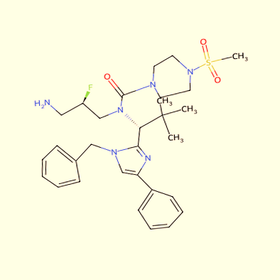 CC(C)(C)[C@H](c1nc(-c2ccccc2)cn1Cc1ccccc1)N(C[C@H](F)CN)C(=O)N1CCN(S(C)(=O)=O)CC1